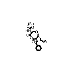 CC(C)CC[C@H]1COC[C@H](NC(=O)OC(C)(C)C)C(=O)O[C@@H](C)[C@@H]1CCc1ccccc1